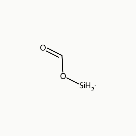 O=CO[SiH2]